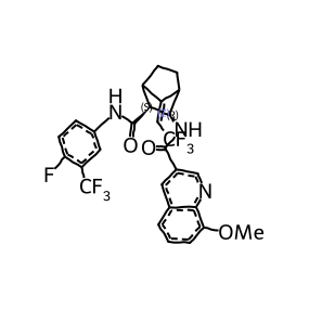 COc1cccc2cc(C(=O)N[C@@H]3C4CCC(/C4=C/C(F)(F)F)[C@@H]3C(=O)Nc3ccc(F)c(C(F)(F)F)c3)cnc12